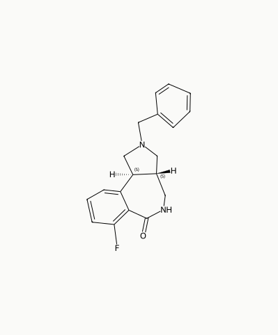 O=C1NC[C@H]2CN(Cc3ccccc3)C[C@@H]2c2cccc(F)c21